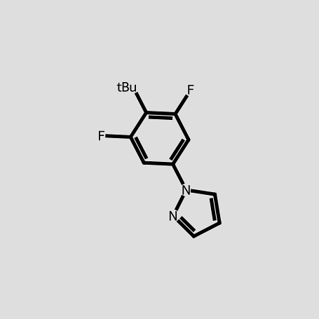 CC(C)(C)c1c(F)cc(-n2cccn2)cc1F